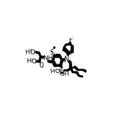 CCCCC1(CCCC)CN(c2ccc(F)cc2)c2cc(SC)c(CNC(CO)C(=O)O)cc2S(O)(O)C1